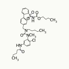 CCCCCN(Cc1ccc(-c2ccccc2S(=O)(=O)NC(=O)OCCCC)cc1)C(=O)N(C)c1cc(NC(=O)CCCC)ccc1Cl